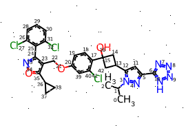 CC(C)n1nc(-c2nnn[nH]2)cc1C1CC(O)(c2ccc(OCc3c(-c4c(Cl)cccc4Cl)noc3C3CC3)cc2Cl)C1